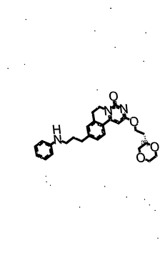 O=c1nc(OCC[C@H]2COCCO2)cc2n1CCc1cc(CCCNc3ccccc3)ccc1-2